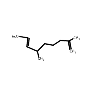 C=C(C)CCCC(C)/C=C/OC(C)=O